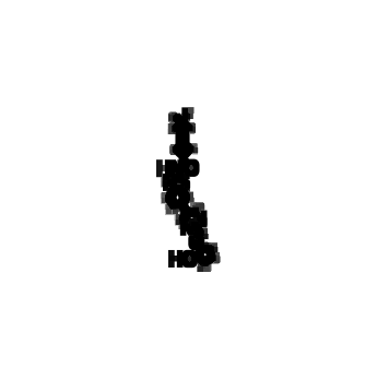 CC1(F)CN(C2CC(C(=O)Nc3nc4ccc(-c5cnc(CO[C@H]6CCC[C@@H]6O)nc5)cc4s3)C2)C1